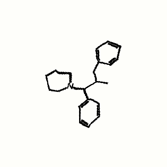 CC(Cc1ccccc1)C(c1ccccc1)N1CCCCC1